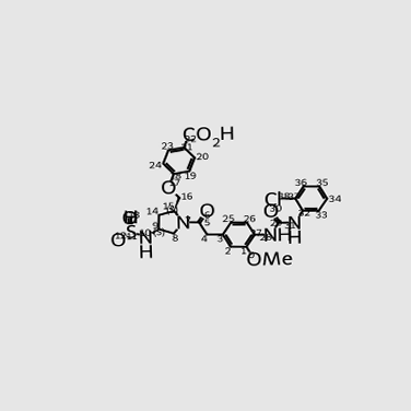 COc1cc(CC(=O)N2C[C@@H](N[SH](=O)=O)C[C@H]2COc2ccc(C(=O)O)cc2)ccc1NC(=O)Nc1ccccc1Cl